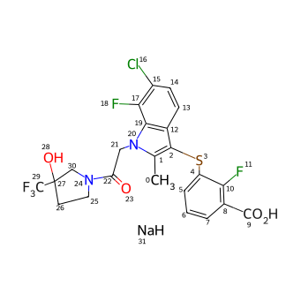 Cc1c(Sc2cccc(C(=O)O)c2F)c2ccc(Cl)c(F)c2n1CC(=O)N1CCC(O)(C(F)(F)F)C1.[NaH]